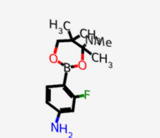 CNC1(C)OB(c2ccc(N)cc2F)OCC1(C)C